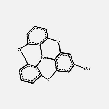 CC(C)(C)c1cc2c3c(c1)Oc1cccc4c1B3c1c(cccc1O2)O4